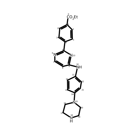 CCOC(=O)c1ccc(-c2nccc(Nc3ccc(N4CCNCC4)cc3)n2)cc1